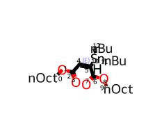 CCCCCCCCOC(=O)/C=[C](\C(=O)OCCCCCCCC)[SnH]([CH2]CCC)[CH2]CCC